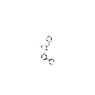 O=C(O)NC(Cc1ccc(F)cc1)C(=O)Nc1cccc(-c2ccncc2)c1